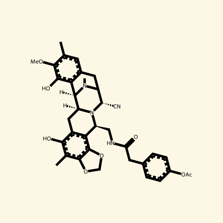 COc1c(C)cc2c(c1O)[C@@H]1[C@@H]3Cc4c(O)c(C)c5c(c4[C@H](CNC(=O)Cc4ccc(OC(C)=O)cc4)N3[C@@H](C#N)C(C2)N1C)OCO5